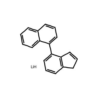 C1=Cc2c(cccc2-c2cccc3ccccc23)C1.[LiH]